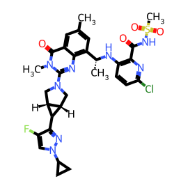 Cc1cc([C@@H](C)Nc2ccc(Cl)nc2C(=O)NS(C)(=O)=O)c2nc(N3C[C@@H]4C(c5nn(C6CC6)cc5F)[C@@H]4C3)n(C)c(=O)c2c1